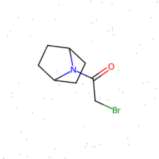 O=C(CBr)N1C2CCC1CC2